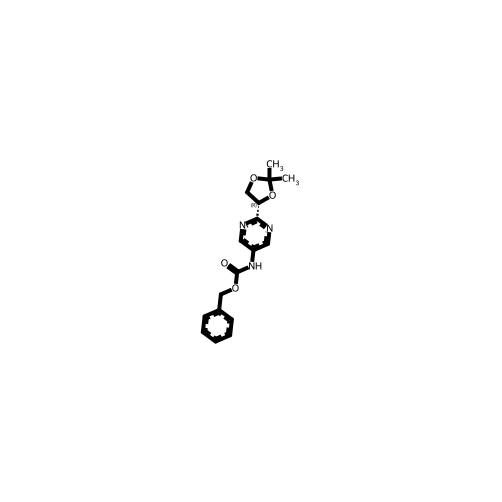 CC1(C)OC[C@@H](c2ncc(NC(=O)OCc3ccccc3)cn2)O1